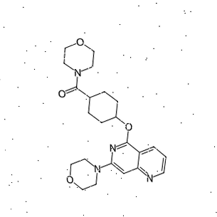 O=C(C1CCC(Oc2nc(N3CCOCC3)cc3ncccc23)CC1)N1CCOCC1